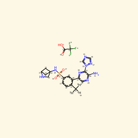 O=C(O)C(F)(F)F.[2H]C([2H])([2H])c1ccc(S(=O)(=O)NC23CNC(C2)C3)cc1-c1cnc(N)c(-n2cncn2)n1